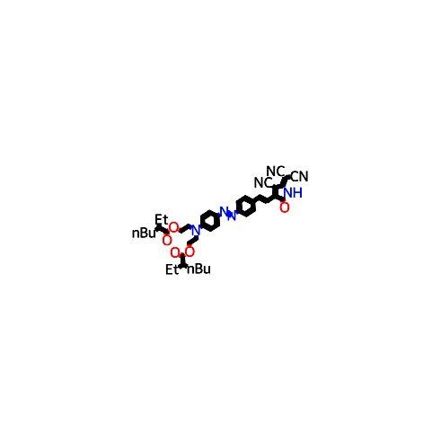 CCCCC(CC)C(=O)OCCN(CCOC(=O)C(CC)CCCC)c1ccc(/N=N/c2ccc(/C=C/C3=C(C#N)C(=C(C#N)C#N)NC3=O)cc2)cc1